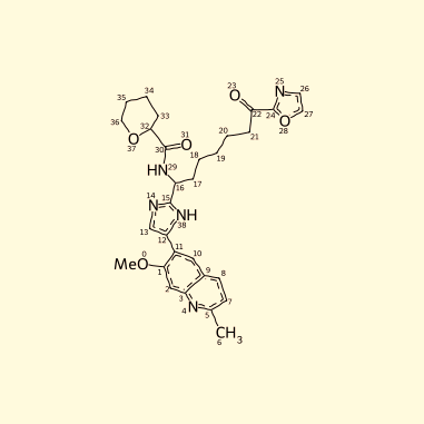 COc1cc2nc(C)ccc2cc1-c1cnc(C(CCCCCC(=O)c2ncco2)NC(=O)C2CCCCO2)[nH]1